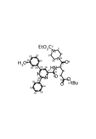 CCOC(=O)N1CCN(C(=O)C(CCC(=O)OC(C)(C)C)NC(=O)c2cc(-c3cccc(C)c3)nc(-c3ccccc3)n2)CC1